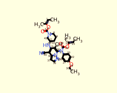 C/C=C(/C)OC(=O)N1CCC[C@H](Nc2c(C)c(N(C(=O)O/C(C)=C/C)c3ccc(OCC)cc3)n3nccc3c2C#N)C1